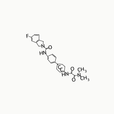 CN(C)C(=O)C(=O)NC12CCC(c3ccc(NC(=O)N4Cc5ccc(F)cc5C4)cc3)(CC1)CC2